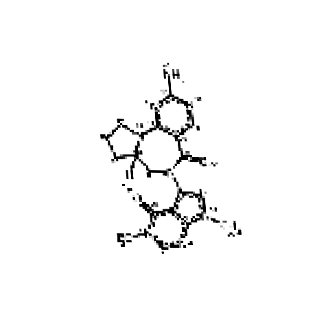 Cn1cnc2c(c(N3C[C@@H]4CCCN4c4nc(N)ncc4C3=O)cn2C)c1=O